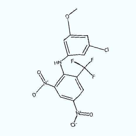 COc1cc(Cl)cc(Nc2c([N+](=O)[O-])cc([N+](=O)[O-])cc2C(F)(F)F)c1